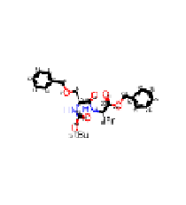 CC(C)[C@H](NC(=O)[C@H](COCc1ccccc1)NC(=O)OC(C)(C)C)C(=O)OCc1ccccc1